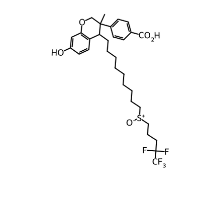 CC1(c2ccc(C(=O)O)cc2)COc2cc(O)ccc2C1CCCCCCCCC[S+]([O-])CCCC(F)(F)C(F)(F)F